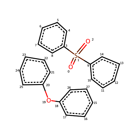 O=S(=O)(c1ccccc1)c1ccccc1.c1ccc(Oc2ccccc2)cc1